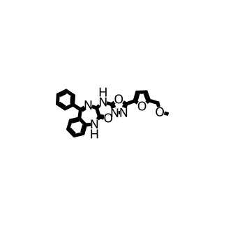 COCc1ccc(-c2nnc(NC3N=C(c4ccccc4)c4ccccc4NC3=O)o2)o1